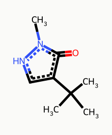 Cn1[nH]cc(C(C)(C)C)c1=O